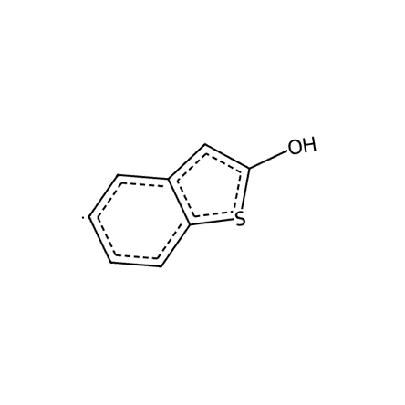 Oc1cc2c[c]ccc2s1